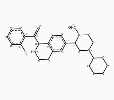 O=CN1CCN(C2CCCCC2)CC1c1ccc2c(c1)CCNC2C(=O)c1ccccc1Cl